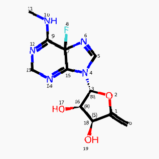 C=C1O[C@@H](N2C=NC3(F)C(NC)=NCN=C23)[C@H](O)[C@@H]1O